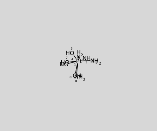 [NH2][Pt]([NH2])([NH2])([NH2])([OH])([OH])([OH])[OH]